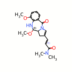 COc1cccc2c1N[C@H](OC)C1CC(/C=C/C(=O)N(C)C)=CN1C2=O